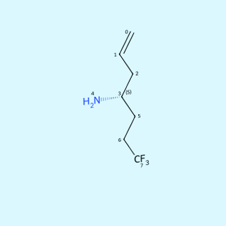 C=CC[C@@H](N)CCC(F)(F)F